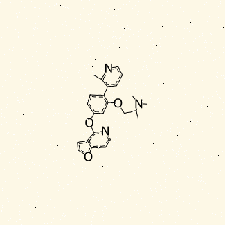 Cc1ncccc1-c1ccc(Oc2nccc3occc23)cc1OCC(C)N(C)C